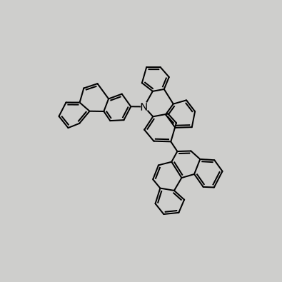 c1ccc(-c2ccccc2N(c2ccc(-c3cc4ccccc4c4c3ccc3ccccc34)cc2)c2ccc3c(ccc4ccccc43)c2)cc1